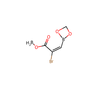 BOC(=O)/C(Br)=C\B1OCO1